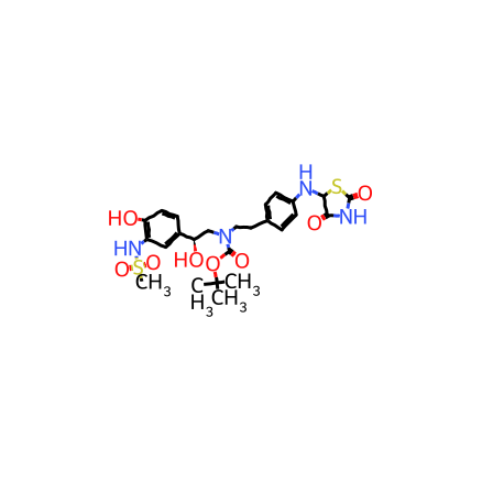 CC(C)(C)OC(=O)N(CCc1ccc(NC2SC(=O)NC2=O)cc1)C[C@@H](O)c1ccc(O)c(NS(C)(=O)=O)c1